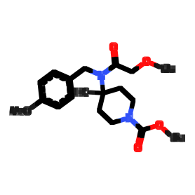 COc1ccc(CN(C(=O)COC(C)(C)C)C2(C=O)CCN(C(=O)OC(C)(C)C)CC2)cc1